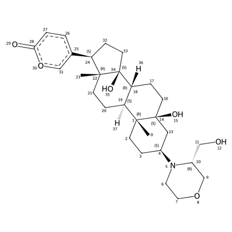 C[C@]12CC[C@H](N3CCOC[C@H]3CO)C[C@@]1(O)CC[C@@H]1[C@@H]2CC[C@]2(C)[C@@H](c3ccc(=O)oc3)CC[C@]12O